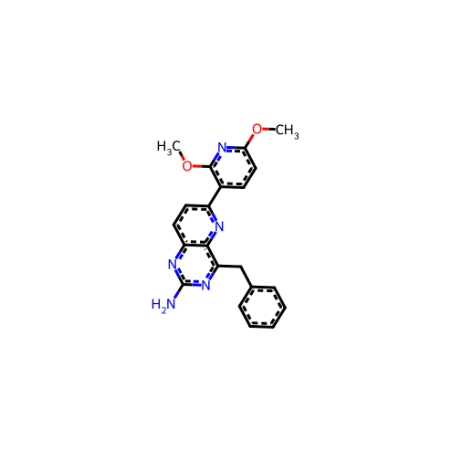 COc1ccc(-c2ccc3nc(N)nc(Cc4ccccc4)c3n2)c(OC)n1